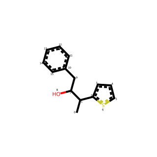 CC(c1cccs1)C(O)Cc1ccccc1